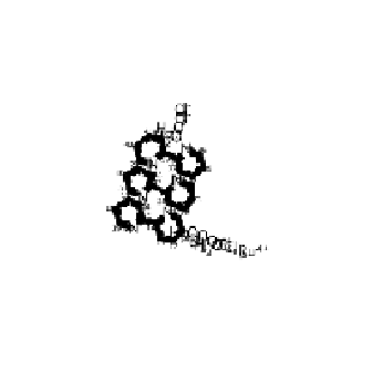 O.O.O.O.O.O.[Cl-].[Cl-].[Cl-].[Cl-].[Ru+4].c1ccc(-c2ccccn2)nc1.c1ccc(-c2ccccn2)nc1.c1ccc(-c2ccccn2)nc1